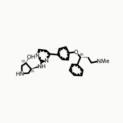 CNCC[C@@H](Oc1ccc(-c2ccnc(N[C@H]3CNC[C@@H]3O)n2)cc1)c1ccccc1